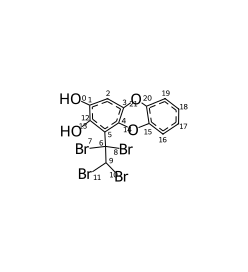 Oc1cc2c(c(C(Br)(Br)C(Br)Br)c1O)Oc1ccccc1O2